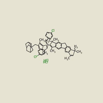 CC1=CC(C)(C)c2cc3c(cc21)-c1cc2c(cc1C3)C(C)(C)[C]([Zr](=[CH]c1ccc(Cl)cc1)(=[CH]c1ccc(Cl)cc1)[C]1=C(C)C(CC34CC5CC(CC(C5)C3)C4)=CC1C)=C2C.Cl.Cl